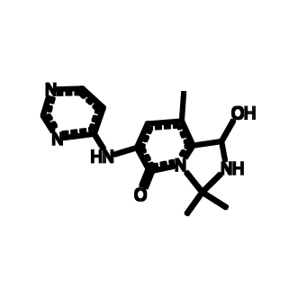 Cc1cc(Nc2ccncn2)c(=O)n2c1C(O)NC2(C)C